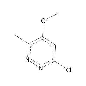 COc1cc(Cl)nnc1C